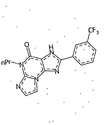 CCCn1c(=O)c2[nH]c(-c3cccc(C(F)(F)F)c3)nc2n2ccnc12